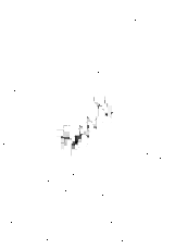 O=C(OC(C(F)(F)F)C(F)(F)F)N1CCN(Cc2cccc(F)c2N2CCOCC2)CC1